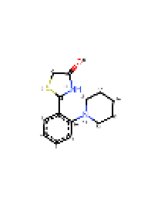 O=C1CSC(c2ccccc2N2CCCCC2)N1